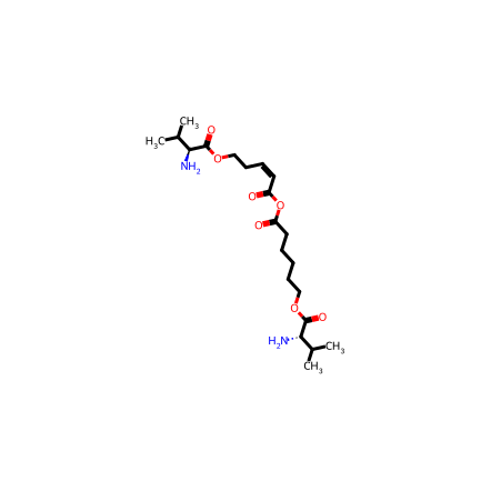 CC(C)[C@H](N)C(=O)OCC/C=C\C(=O)OC(=O)CCCCCOC(=O)[C@@H](N)C(C)C